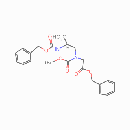 CC(C)(C)OC(=O)N(CC(=O)OCc1ccccc1)C[C@@H](NC(=O)OCc1ccccc1)C(=O)O